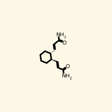 NC(=O)C=C[C@H]1CCCC[C@@H]1C=CC(N)=O